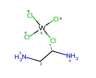 NCCN.[Cl][W]([Cl])([Cl])[Cl]